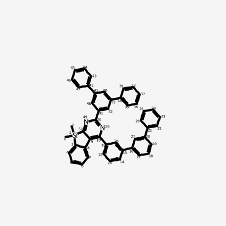 C[Si]1(C)c2ccccc2-c2c(-c3cccc(-c4cccc(-c5ccccc5)c4)c3)nc(-c3cc(-c4ccccc4)cc(-c4ccccc4)c3)nc21